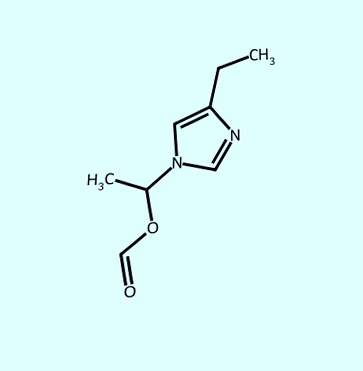 CCc1cn(C(C)OC=O)cn1